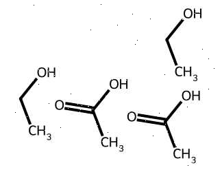 CC(=O)O.CC(=O)O.CCO.CCO